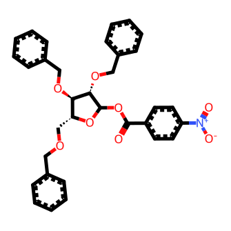 O=C(OC1O[C@H](COCc2ccccc2)[C@@H](OCc2ccccc2)[C@@H]1OCc1ccccc1)c1ccc([N+](=O)[O-])cc1